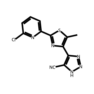 Cc1sc(-c2cccc(Cl)n2)nc1-c1nn[nH]c1C#N